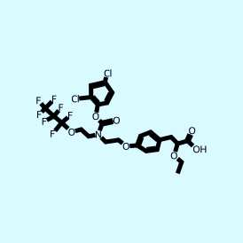 CCOC(Cc1ccc(OCCN(CCOC(F)(F)C(F)(F)C(F)(F)F)C(=O)Oc2ccc(Cl)cc2Cl)cc1)C(=O)O